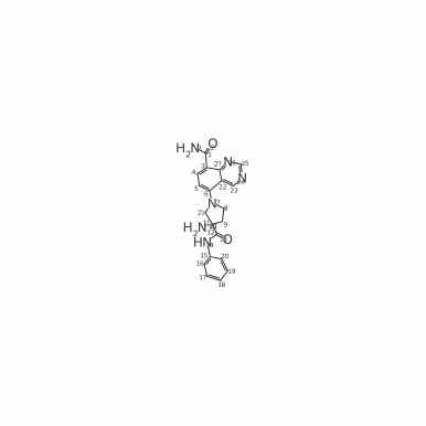 NC(=O)c1ccc(N2CC[C@@](N)(C(=O)Nc3ccccc3)C2)c2cncnc12